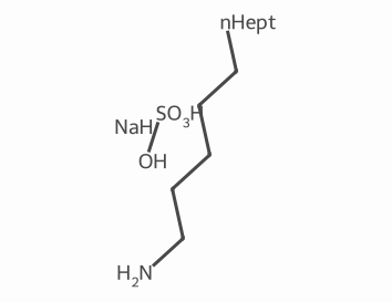 CCCCCCCCCCCCN.O=S(=O)(O)O.[NaH]